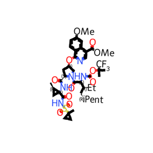 CCC[C@@H](C)C[C@@H](CC)[C@H](NC(=O)OC(C)(C)C(F)(F)F)C(=O)N1C[C@H](Oc2ncc(C(=O)OC)c3cc(OC)ccc23)C[C@H]1C(=O)N[C@]1(C(=O)NS(=O)(=O)C2(C)CC2)C[C@H]1C